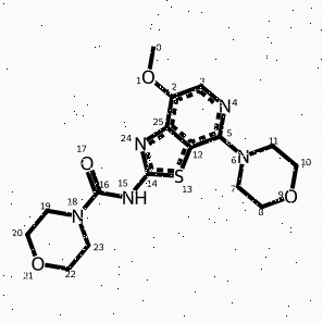 COc1cnc(N2CCOCC2)c2sc(NC(=O)N3CCOCC3)nc12